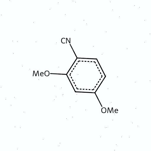 [C-]#[N+]c1ccc(OC)cc1OC